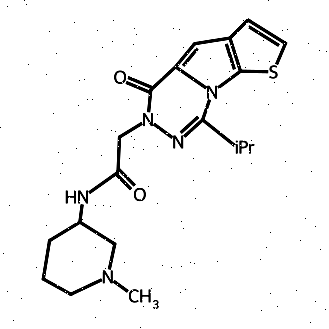 CC(C)c1nn(CC(=O)NC2CCCN(C)C2)c(=O)c2cc3ccsc3n12